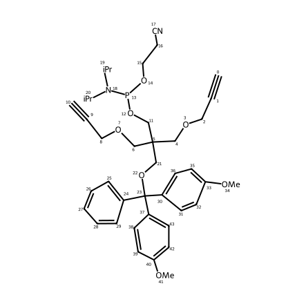 C#CCOCC(COCC#C)(COP(OCCC#N)N(C(C)C)C(C)C)COC(c1ccccc1)(c1ccc(OC)cc1)c1ccc(OC)cc1